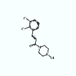 CCN1CCN(C(=O)/C=C/c2cc[c]c(Cl)c2Cl)CC1